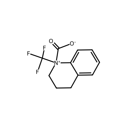 O=C([O-])[N+]1(C(F)(F)F)CCCc2ccccc21